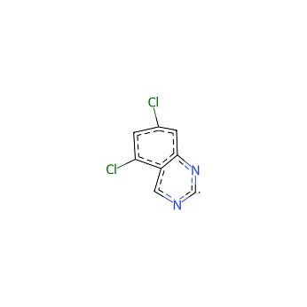 Clc1cc(Cl)c2cn[c]nc2c1